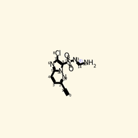 C#Cc1ccc2nc(Cl)c(S(=O)(=O)/N=C/N)n2n1